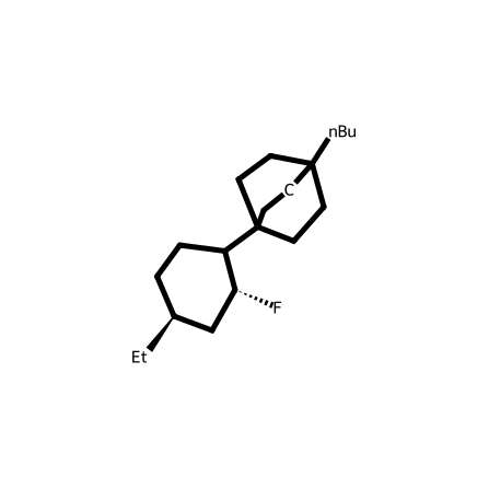 CCCCC12CCC(C3CC[C@H](CC)C[C@H]3F)(CC1)CC2